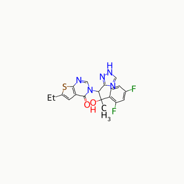 CCc1cc2c(=O)n(C(c3nc[nH]n3)C(C)(O)c3ccc(F)cc3F)cnc2s1